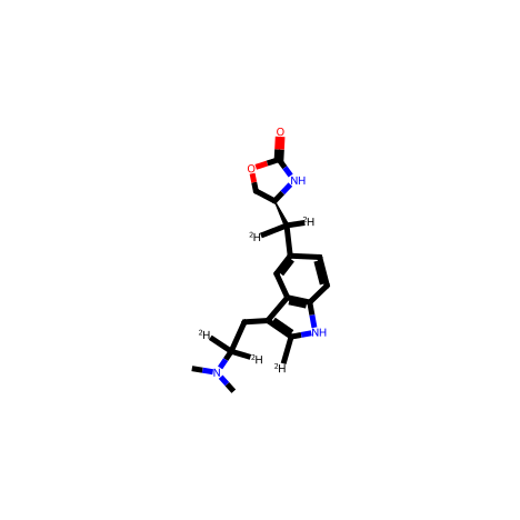 [2H]c1[nH]c2ccc(C([2H])([2H])[C@H]3COC(=O)N3)cc2c1CC([2H])([2H])N(C)C